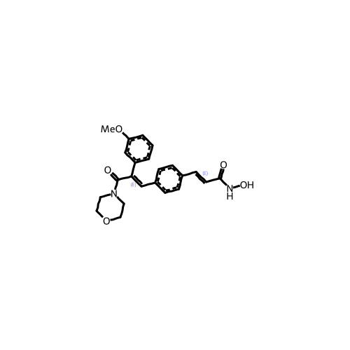 COc1cccc(/C(=C\c2ccc(/C=C/C(=O)NO)cc2)C(=O)N2CCOCC2)c1